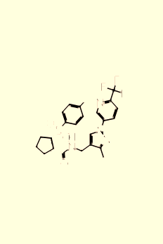 Cc1nn(-c2ccc(C(F)(F)F)nc2)cc1CNC(=O)[C@@H]1CCC[C@@H]1S(=O)(=O)c1ccc(F)cc1